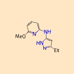 CCc1cc(Nc2cccc(OC)n2)[nH]n1